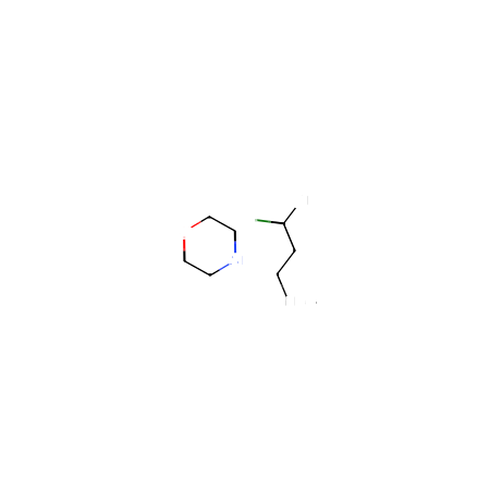 C1COCCN1.CCCCCCCCC(C)Cl